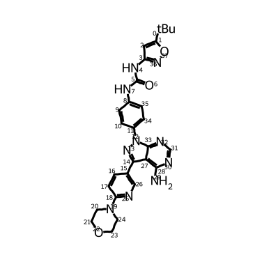 CC(C)(C)c1cc(NC(=O)Nc2ccc(-n3nc(-c4ccc(N5CCOCC5)nc4)c4c(N)ncnc43)cc2)no1